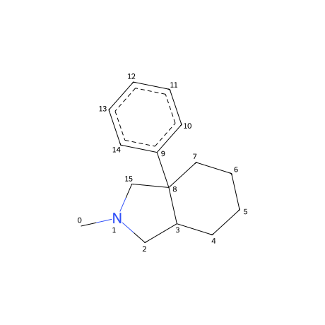 CN1CC2CCCCC2(c2ccccc2)C1